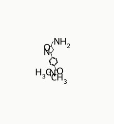 CN(C)C(=O)c1ccc(C2=NOC(CN)C2)cc1